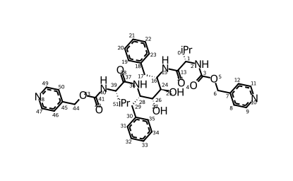 CC(C)[C@H](NC(=O)OCc1ccncc1)C(=O)N[C@@H](Cc1ccccc1)[C@@H](O)[C@H](O)[C@H](Cc1ccccc1)NC(=O)[C@@H](NC(=O)OCc1ccncc1)C(C)C